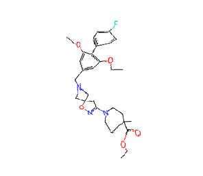 CCOC(=O)C1(C)CCN(C2=NOC3(C2)CN(Cc2cc(OCC)c(-c4ccc(F)cc4)c(OCC)c2)C3)CC1